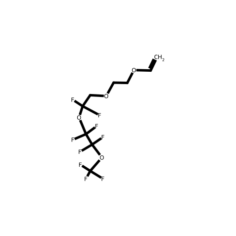 C=COCCOCC(F)(F)OC(F)(F)C(F)(F)OC(F)(F)F